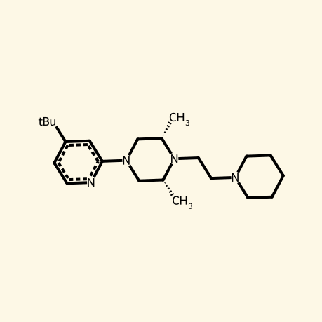 C[C@@H]1CN(c2cc(C(C)(C)C)ccn2)C[C@H](C)N1CCN1CCCCC1